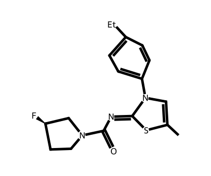 CCc1ccc(-n2cc(C)sc2=NC(=O)N2CC[C@@H](F)C2)cc1